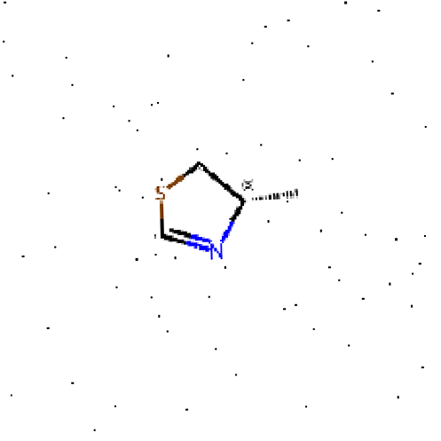 C[C@H]1CS[C]=N1